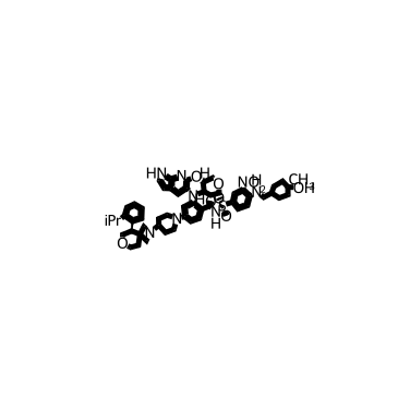 CC(C)c1ccccc1[C@@H]1COCCC12CN(C1CCN(c3ccc(C(=O)NS(=O)(=O)c4ccc(NCC5CCC(C)(O)CC5)c([N+](=O)[O-])c4)c(N4c5cc6cc[nH]c6nc5O[C@H]5COCC[C@@H]54)c3)CC1)C2